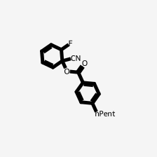 CCCCCc1ccc(C(=O)OC2(C#N)C=CC=CC2F)cc1